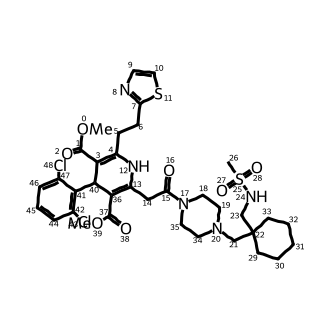 COC(=O)C1=C(CCc2nccs2)NC(CC(=O)N2CCN(CC3(CNS(C)(=O)=O)CCCCC3)CC2)=C(C(=O)OC)C1c1c(Cl)cccc1Cl